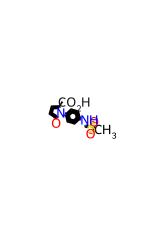 CS(=O)(=O)CNc1ccc(N2C(=O)CC[C@H]2C(=O)O)cc1